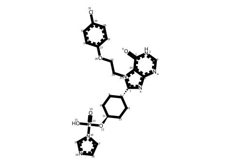 O=c1[nH]cnc2nc([C@H]3CC[C@H](OP(=O)(O)n4ccnc4)CC3)n(CCOc3ccc(Cl)cc3)c12